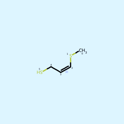 CS/C=C\CS